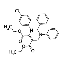 CCOC(=O)C1=C(C(=O)OCC)N(c2ccc(Cl)cc2)C(c2ccccc2)N(c2ccccc2)C1